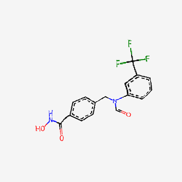 O=CN(Cc1ccc(C(=O)NO)cc1)c1cccc(C(F)(F)F)c1